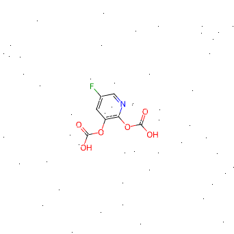 O=C(O)Oc1cc(F)cnc1OC(=O)O